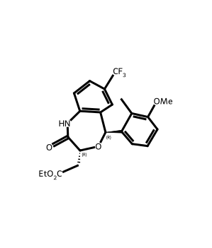 CCOC(=O)C[C@H]1O[C@H](c2cccc(OC)c2C)c2cc(C(F)(F)F)ccc2NC1=O